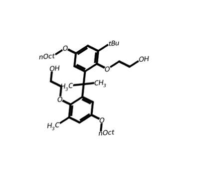 CCCCCCCCOc1cc(C)c(OCCO)c(C(C)(C)c2cc(OCCCCCCCC)cc(C(C)(C)C)c2OCCO)c1